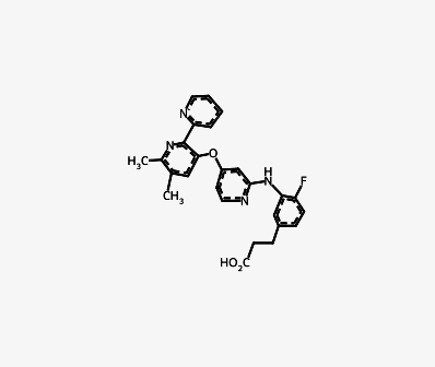 Cc1cc(Oc2ccnc(Nc3cc(CCC(=O)O)ccc3F)c2)c(-c2ccccn2)nc1C